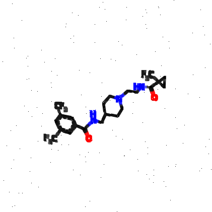 O=C(NCC1CCN(CCNC(=O)C2(C(F)(F)F)CC2)CC1)c1cc(C(F)(F)F)cc(C(F)(F)F)c1